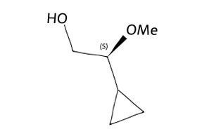 CO[C@H](CO)C1CC1